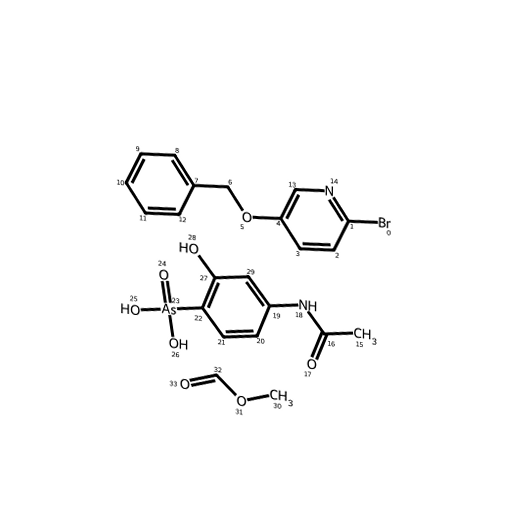 Brc1ccc(OCc2ccccc2)cn1.CC(=O)Nc1ccc([As](=O)(O)O)c(O)c1.COC=O